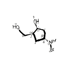 OC[C@@H]1C[C@@H](NBr)C[C@@H]1O